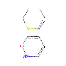 C1=CNOC=C1.C1=CSCCC1